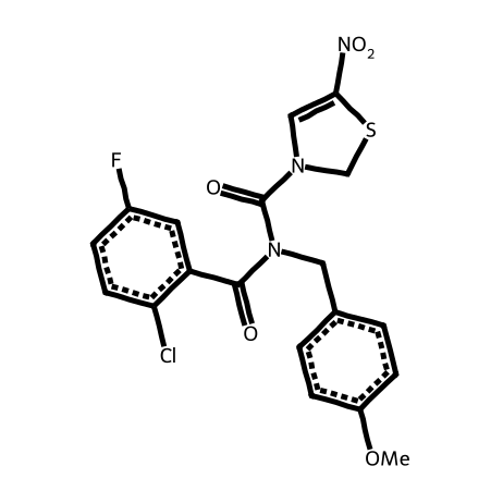 COc1ccc(CN(C(=O)c2cc(F)ccc2Cl)C(=O)N2C=C([N+](=O)[O-])SC2)cc1